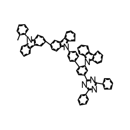 Cc1ccccc1-n1c2ccccc2c2cc(-c3ccc4c(c3)c3ccccc3n4-c3ccc(-c4ccc(-c5nc(-c6ccccc6)nc(-c6ccccc6)n5)cc4-n4c5ccccc5c5ccccc54)cc3)ccc21